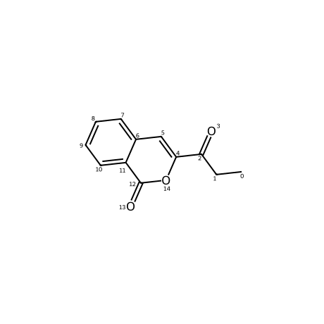 CCC(=O)c1cc2ccccc2c(=O)o1